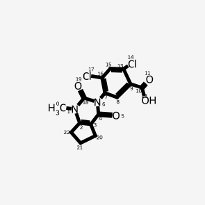 Cn1c2c(c(=O)n(-c3cc(C(=O)O)c(Cl)cc3Cl)c1=O)CCC2